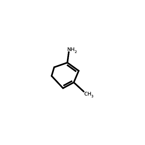 CC1=CCCC(N)=C1